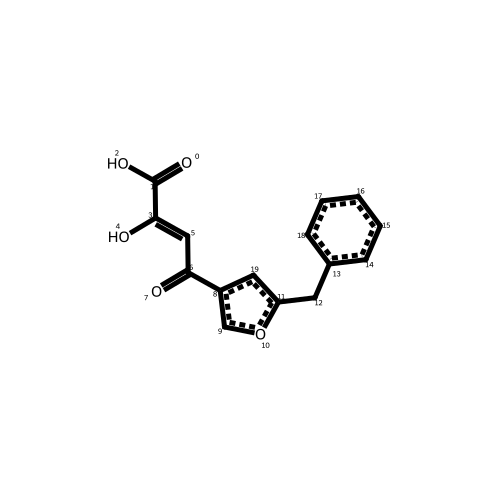 O=C(O)/C(O)=C/C(=O)c1coc(Cc2ccccc2)c1